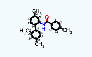 Cc1ccc(C(=O)Nc2cc(C)ccc2-c2ccc(C)cc2C)cc1